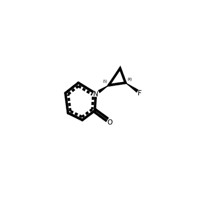 O=c1ccccn1[C@H]1C[C@H]1F